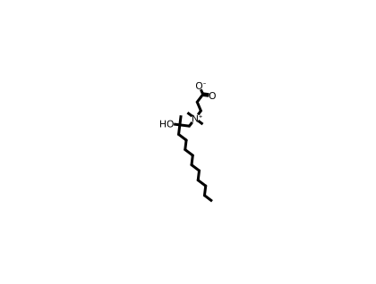 CCCCCCCCCCC(C)(O)C[N+](C)(C)CCC(=O)[O-]